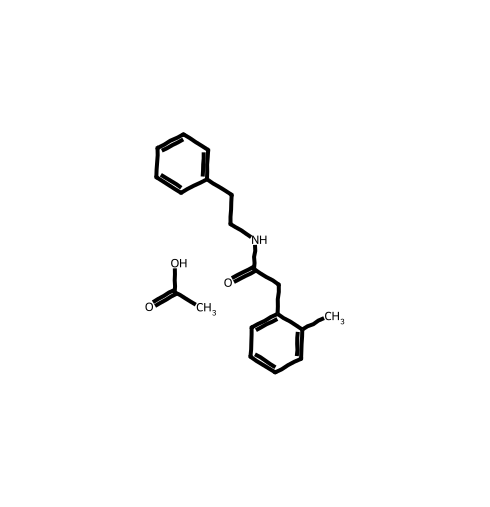 CC(=O)O.Cc1ccccc1CC(=O)NCCc1ccccc1